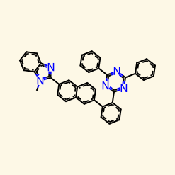 Cn1c(-c2ccc3cc(-c4ccccc4-c4nc(-c5ccccc5)nc(-c5ccccc5)n4)ccc3c2)nc2ccccc21